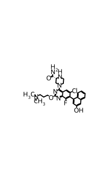 CN(C)CCCOc1nc(N2CCN[C@@H](C(N)=O)C2)c2cc(Cl)c(-c3cc(O)cc4ccccc34)c(F)c2n1